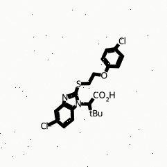 CC(C)(C)C(C(=O)O)n1c(SCCOc2ccc(Cl)cc2)nc2cc(Cl)ccc21